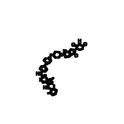 Cc1cccc(C)c1Nc1nn(C)c2nc(Nc3ccc(N4CCN(CC5CCN(c6ccc7c(n6)CN(C6CCC(=O)NC6=O)C7=O)CC5)CC4)cc3)ncc12